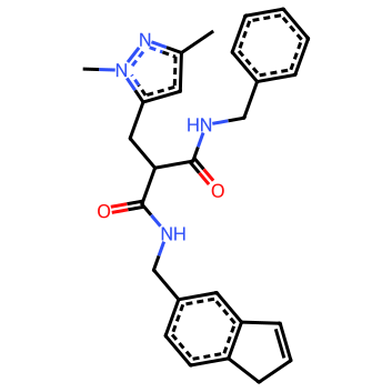 Cc1cc(CC(C(=O)NCc2ccccc2)C(=O)NCc2ccc3c(c2)C=CC3)n(C)n1